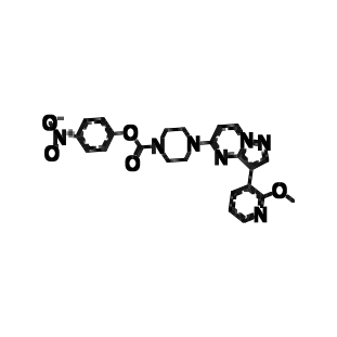 COc1ncccc1-c1cnn2ccc(N3CCN(C(=O)Oc4ccc([N+](=O)[O-])cc4)CC3)nc12